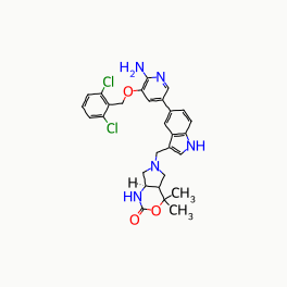 CC1(C)OC(=O)N[C@H]2CN(Cc3c[nH]c4ccc(-c5cnc(N)c(OCc6c(Cl)cccc6Cl)c5)cc34)CC21